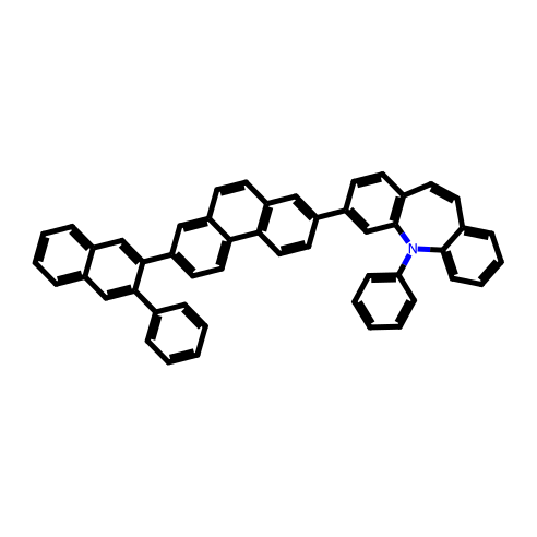 C1=Cc2ccc(-c3ccc4c(ccc5cc(-c6cc7ccccc7cc6-c6ccccc6)ccc54)c3)cc2N(c2ccccc2)c2ccccc21